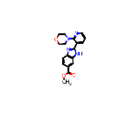 COC(=O)c1ccc2nc(-c3cccnc3N3CCOCC3)[nH]c2c1